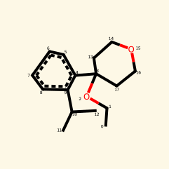 CCOC1(c2ccccc2C(C)C)CCOCC1